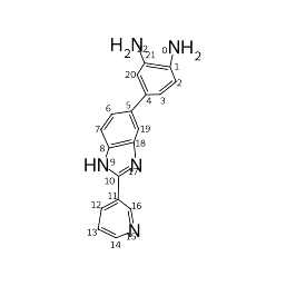 Nc1ccc(-c2ccc3[nH]c(-c4cccnc4)nc3c2)cc1N